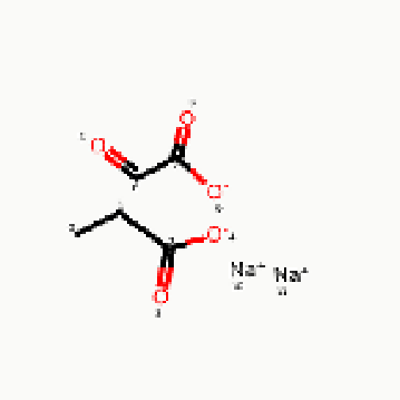 CCC(=O)[O-].O=CC(=O)[O-].[Na+].[Na+]